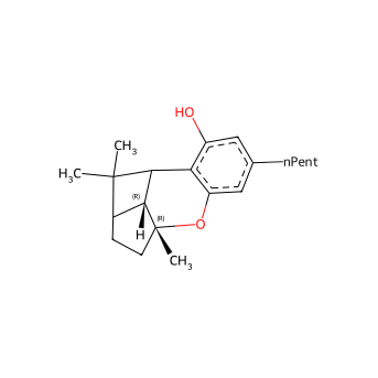 CCCCCc1cc(O)c2c(c1)O[C@]1(C)CCC3[C@@H]1C2C3(C)C